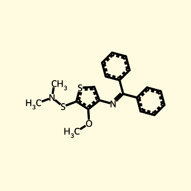 COc1c(N=C(c2ccccc2)c2ccccc2)csc1SN(C)C